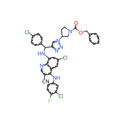 N#Cc1cnc2c(NC(c3ccc(Cl)cc3)c3cn([C@H]4CCN(C(=O)OCc5ccccc5)C4)nn3)cc(Cl)cc2c1Nc1ccc(F)c(Cl)c1